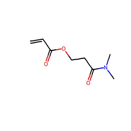 C=CC(=O)OCCC(=O)N(C)C